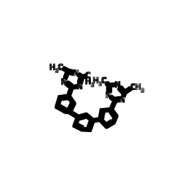 Cc1nc(C)nc(-c2cccc(-c3cccc(-c4cccc(-c5nc(C)nc(C)n5)c4)c3)c2)n1